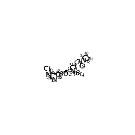 CC(C)(C)[N+]1(C(=O)[O-])C[C@@H](OC(=O)N2CCCC2)C[C@@H]1C#Cc1cc2c(Cl)ncnc2s1